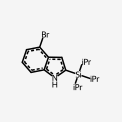 CC(C)[Si](c1cc2c(Br)cccc2[nH]1)(C(C)C)C(C)C